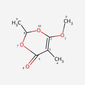 COC1=C(C)C(=O)OC(C)O1